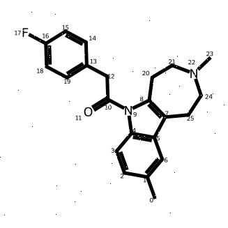 Cc1ccc2c(c1)c1c(n2C(=O)Cc2ccc(F)cc2)CCN(C)CC1